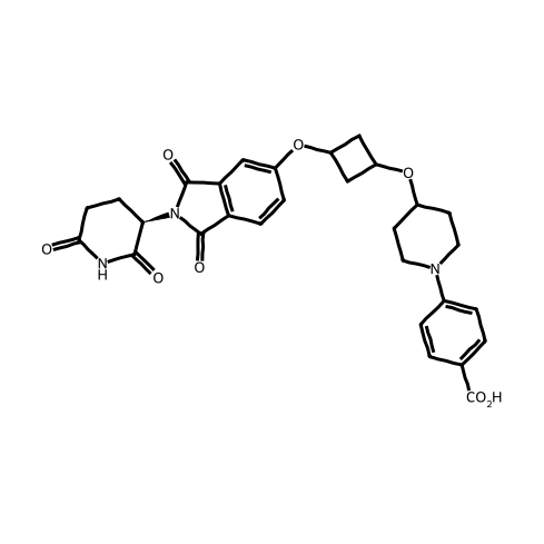 O=C1CC[C@@H](N2C(=O)c3ccc(OC4CC(OC5CCN(c6ccc(C(=O)O)cc6)CC5)C4)cc3C2=O)C(=O)N1